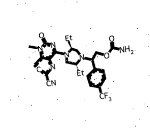 CC[C@H]1CN(C(COC(N)=O)c2ccc(C(F)(F)F)cc2)[C@H](CC)CN1c1nc(=O)n(C)c2ccc(C#N)nc12